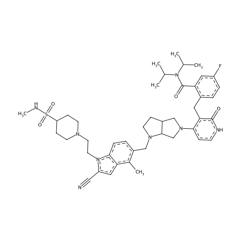 CNS(=O)(=O)C1CCN(CCn2c(C#N)cc3c(C)c(CN4CCC5CN(c6cc[nH]c(=O)c6Cc6ccc(F)cc6C(=O)N(C(C)C)C(C)C)CC54)ccc32)CC1